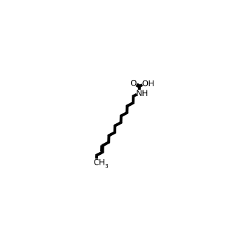 CCC=CCCCCCCCCCCNC(=O)O